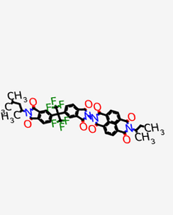 CCC(C)N1C(=O)c2ccc3c4c(ccc(c24)C1=O)C(=O)N(N1C(=O)c2ccc(C(c4ccc5c(c4)C(=O)N(C(C)CC(C)C)C5=O)(C(F)(F)F)C(F)(F)F)cc2C1=O)C3=O